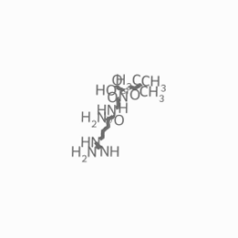 CC(C)(C)C(=O)C[C@H](NC(=O)CNC(=O)[C@@H](N)CCCNC(=N)N)C(=O)O